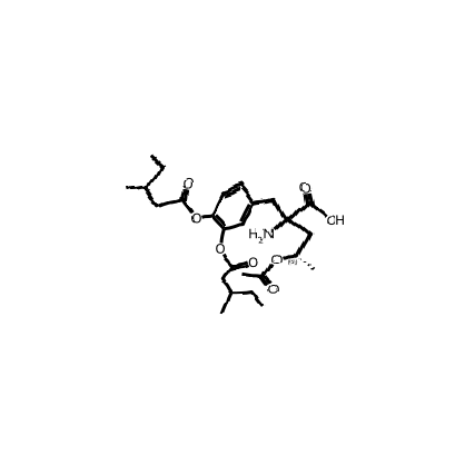 CCC(C)CC(=O)Oc1ccc(CC(N)(C[C@H](C)OC(C)=O)C(=O)O)cc1OC(=O)CC(C)CC